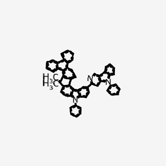 CC1(C)c2ccc3c(c2-c2ccc4c5ccccc5c5ccccc5c4c21)c1cc(-c2cc4c(cn2)c2ccccc2n4-c2ccccc2)ccc1n3-c1ccccc1